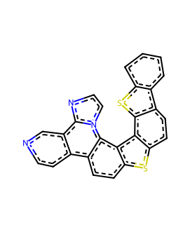 c1ccc2c(c1)sc1c2ccc2sc3ccc4c5ccncc5c5nccn5c4c3c21